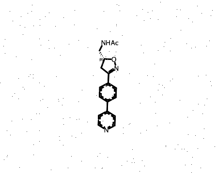 CC(=O)NC[C@H]1CC(c2ccc(-c3ccncc3)cc2)=NO1